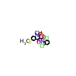 CSc1ccc2c(c1)c(O)c(C(=O)Nc1c(Cl)cccc1Cl)c(=O)n2C